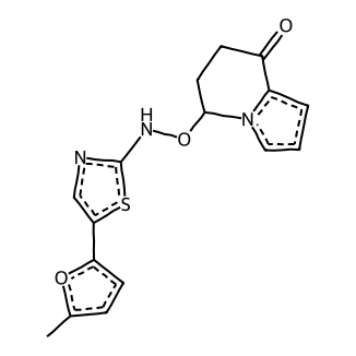 Cc1ccc(-c2cnc(NOC3CCC(=O)c4cccn43)s2)o1